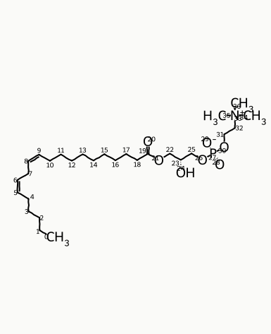 CCCCC/C=C\C/C=C\CCCCCCCCCC(=O)OC[C@@H](O)COP(=O)([O-])OCC[N+](C)(C)C